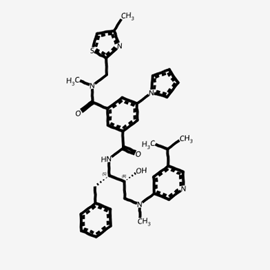 Cc1csc(CN(C)C(=O)c2cc(C(=O)N[C@@H](Cc3ccccc3)[C@H](O)CN(C)c3cncc(C(C)C)c3)cc(-n3cccc3)c2)n1